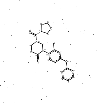 Cc1cc(Oc2ccccc2)ccc1C1CN(C(=O)[C@@H]2CCOC2)CCC1=O